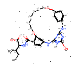 CC[C@@H](C)[C@H](NC(=O)c1ccc2cc1OCCCCCCOc1ccc(cc1)CNc1nc(O)nc(n1)N2)C(=O)O